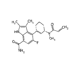 C=CC(=O)N(C)C1C=C(c2c(F)cc(C(N)=O)c3[nH]c(C)c(C)c23)CCC1